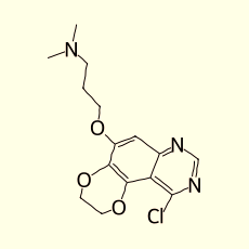 CN(C)CCCOc1cc2ncnc(Cl)c2c2c1OCCO2